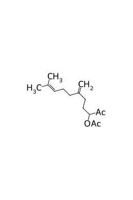 C=C(CCC=C(C)C)CCC(OC(C)=O)C(C)=O